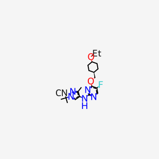 CCO[C@H]1CC[C@@H](COc2nc(Nc3cn(C(C)(C)C#N)nc3C)ncc2F)CC1